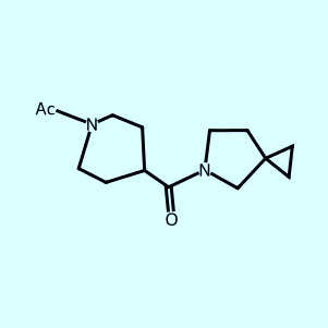 CC(=O)N1CCC(C(=O)N2CCC3(CC3)C2)CC1